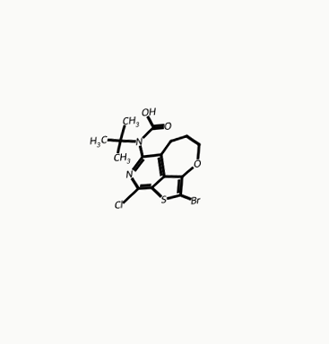 CC(C)(C)N(C(=O)O)c1nc(Cl)c2sc(Br)c3c2c1CCCO3